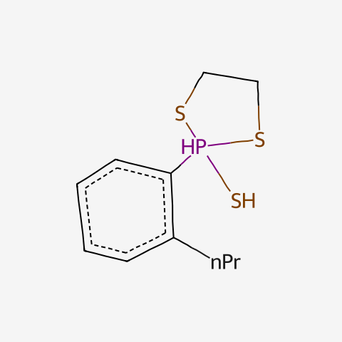 CCCc1ccccc1[PH]1(S)SCCS1